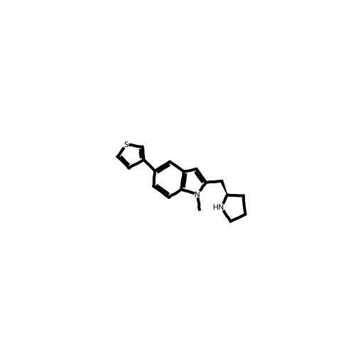 Cn1c(C[C@H]2CCCN2)cc2cc(-c3ccsc3)ccc21